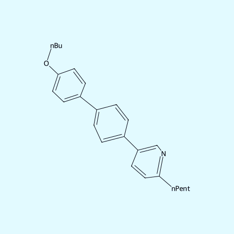 CCCCCc1ccc(-c2ccc(-c3ccc(OCCCC)cc3)cc2)cn1